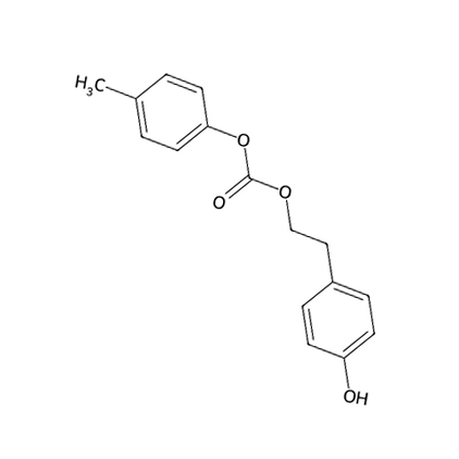 Cc1ccc(OC(=O)OCCc2ccc(O)cc2)cc1